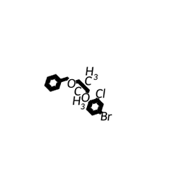 CC(C)(COCc1ccccc1)COc1ccc(Br)cc1Cl